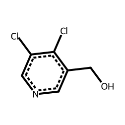 OCc1cncc(Cl)c1Cl